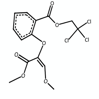 CO/C=C(/Oc1ccccc1C(=O)OCC(Cl)(Cl)Cl)C(=O)OC